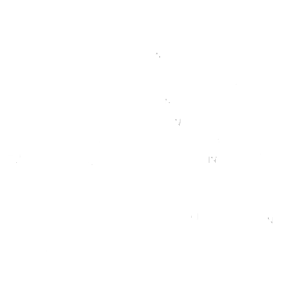 C=C/C(=C\C=C/C)Sc1cccc(-n2nc(C(=O)Nc3c(Cl)cncc3Cl)c(=O)c3cccnc32)c1